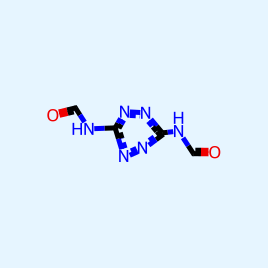 O=CNc1nnc(NC=O)nn1